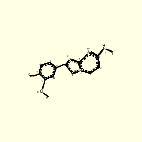 CNc1ccn2cc(-c3ccc(C)c(OC)c3)nc2n1